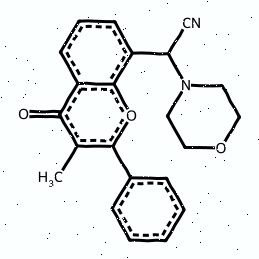 Cc1c(-c2ccccc2)oc2c(C(C#N)N3CCOCC3)cccc2c1=O